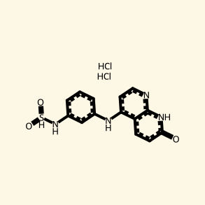 Cl.Cl.O=c1ccc2c(Nc3cccc(N[SH](=O)=O)c3)ccnc2[nH]1